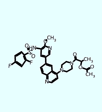 COc1ncc(-c2ccc3nccc(N4CCN(C(=O)C(C)OC(C)=O)CC4)c3c2)cc1NS(=O)(=O)c1ccc(F)cc1F